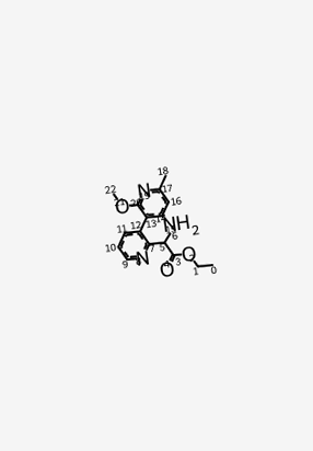 CCOC(=O)C(C)c1ncccc1-c1c(N)cc(C)nc1OC